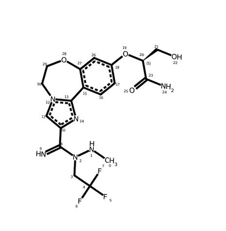 CNN(CC(F)(F)F)C(=N)c1cn2c(n1)-c1ccc(O[C@@H](CO)C(N)=O)cc1OCC2